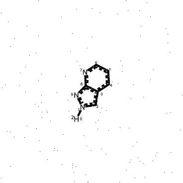 [2H]n1cc2cccnc2n1